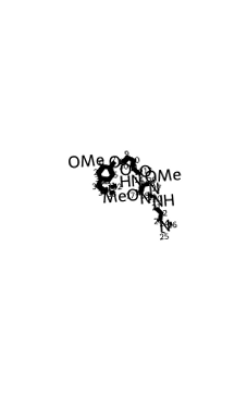 COc1cc2c(cc1Oc1ccc(C(=O)Nc3c(OC)nc(NCCCN(C)C)nc3OC)o1)[Si](C)(C)C=C2